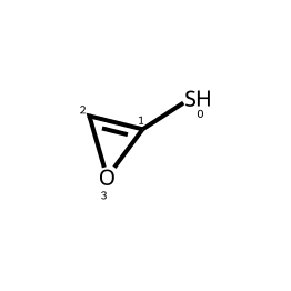 SC1=CO1